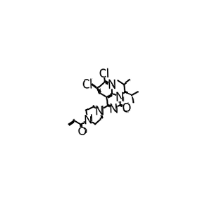 C=CC(=O)N1CCN(c2nc(=O)n(C(C(C)C)C(C)C)c3nc(Cl)c(Cl)cc23)CC1